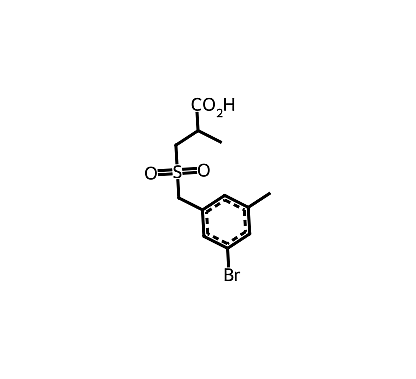 Cc1cc(Br)cc(CS(=O)(=O)CC(C)C(=O)O)c1